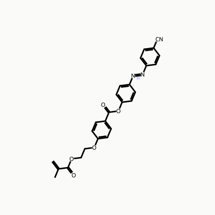 C=C(C)C(=O)OCCOc1ccc(C(=O)Oc2ccc(/N=N/c3ccc(C#N)cc3)cc2)cc1